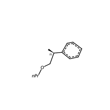 CCCOC[C@@H](C)c1ccccc1